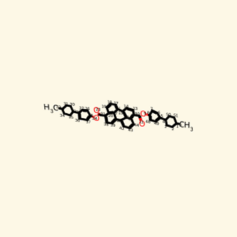 CC1CCC(c2ccc(OC(=O)c3ccc4c5cccc6c(C(=O)Oc7ccc(C8CCC(C)CC8)cc7)ccc(c7cccc3c74)c65)cc2)CC1